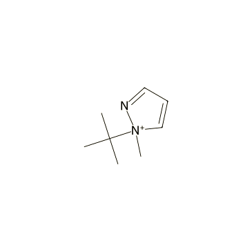 CC(C)(C)[N+]1(C)C=CC=N1